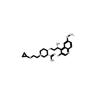 COc1ccc2ncc(F)c([C@@H](O)CC[C@H]3CCN(CCSC4CC4)C[C@H]3C(=O)O)c2c1